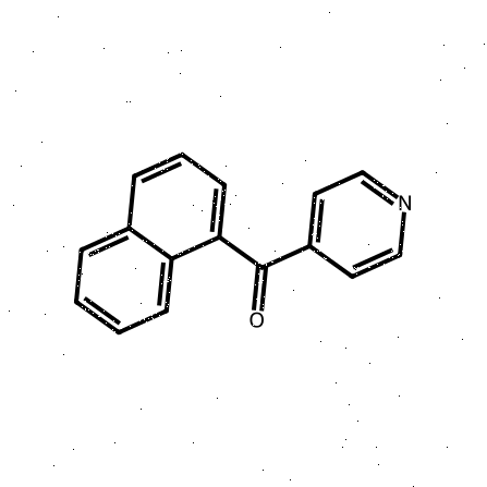 O=C(c1ccncc1)c1cccc2ccccc12